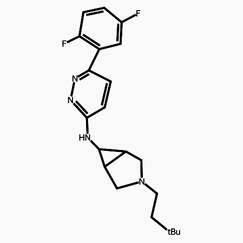 CC(C)(C)CCN1CC2C(C1)C2Nc1ccc(-c2cc(F)ccc2F)nn1